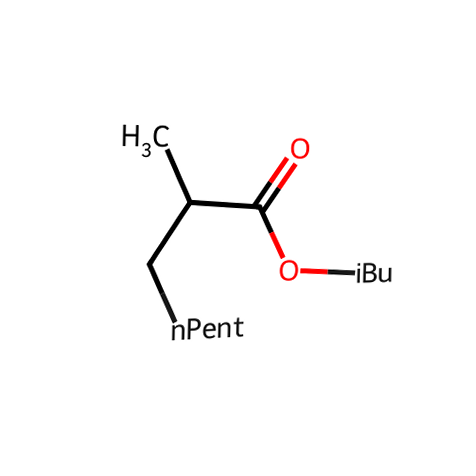 CCCCCCC(C)C(=O)OC(C)CC